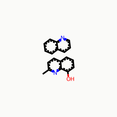 Cc1ccc2cccc(O)c2n1.c1ccc2ncccc2c1